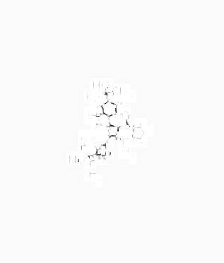 C[C@H]1CCCN1C(=O)c1nc(-c2nnc(C(C)(C)O)o2)sc1-c1ccc(C(C)(O)C(F)(F)F)cc1C(F)F